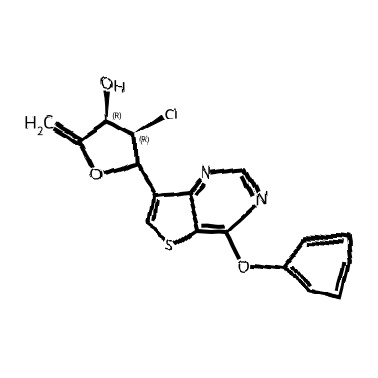 C=C1OC(c2csc3c(Oc4ccccc4)ncnc23)[C@H](Cl)[C@@H]1O